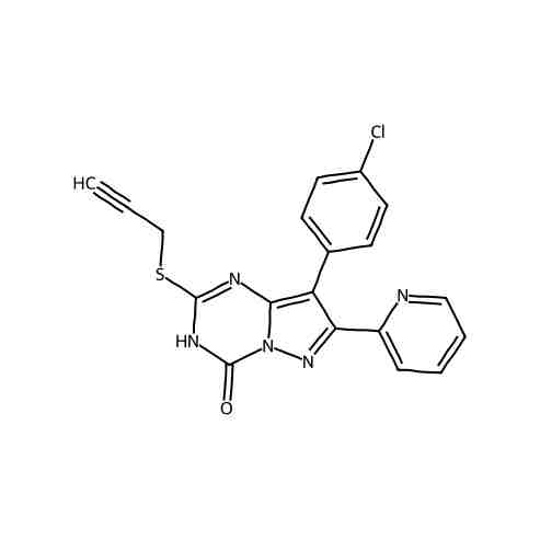 C#CCSc1nc2c(-c3ccc(Cl)cc3)c(-c3ccccn3)nn2c(=O)[nH]1